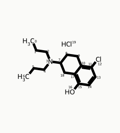 CCCN(CCC)C1CCc2c(Cl)ccc(O)c2C1.Cl